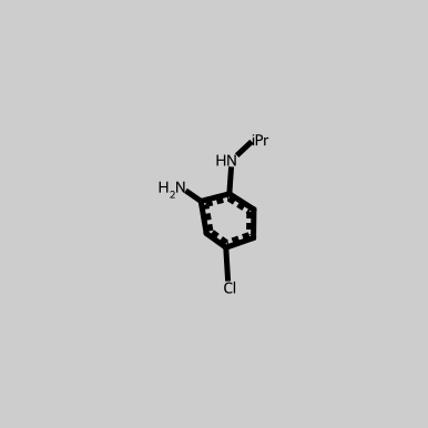 CC(C)Nc1ccc(Cl)cc1N